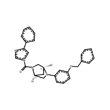 O=C(N1C[C@@H]2C[C@H]1CN2c1cccc(OCc2ccccc2)c1)n1cnc(-c2ccccc2)c1